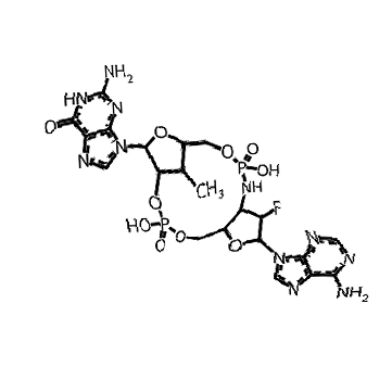 CC1C2COP(=O)(O)NC3C(COP(=O)(O)OC1C(n1cnc4c(=O)[nH]c(N)nc41)O2)OC(n1cnc2c(N)ncnc21)C3F